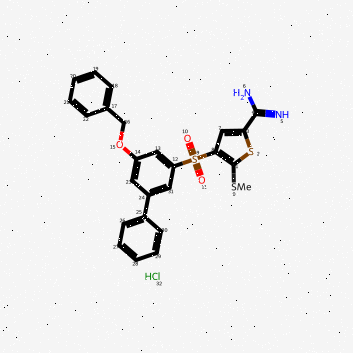 CSc1sc(C(=N)N)cc1S(=O)(=O)c1cc(OCc2ccccc2)cc(-c2ccccc2)c1.Cl